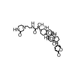 CN(C(=O)NCCN1CCNC(=O)C1)[C@H]1CC[C@@]2(C)[C@H](CC[C@@H]3[C@@H]2CC[C@]2(C)[C@@H](c4ccc(=O)oc4)CC[C@]32O)C1